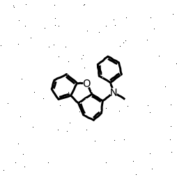 CN(c1ccccc1)c1cccc2c1oc1ccccc12